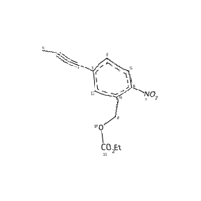 CC#Cc1ccc([N+](=O)[O-])c(COC(=O)OCC)c1